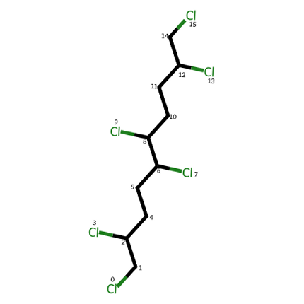 ClCC(Cl)CCC(Cl)C(Cl)CCC(Cl)CCl